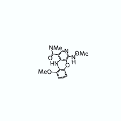 CNC(=O)c1cnc(NOC)c2c1Nc1c(OC)cccc1O2